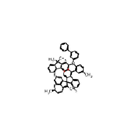 C=C(F)/C=C\C1=C(C)C2(c3cc(F)ccc31)c1ccccc1-c1c(-c3cc(C)ccc3N(c3cccc(-c4ccccc4)c3)c3ccc4c(c3)C(C)(C)c3ccccc3-4)cccc12